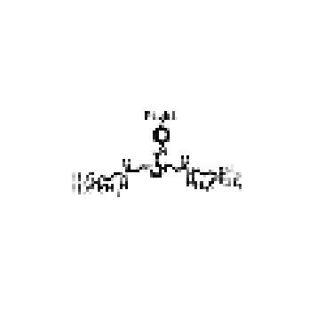 CCN(CC)c1ccc(/N=N/c2n(CCC(=O)NCCC[N+](C)(C)C)cc[n+]2CCC(=O)NCCC[N+](C)(C)C)cc1